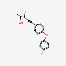 CC(O)C(C)C#Cc1ccc(Oc2ccc(F)cc2)cc1